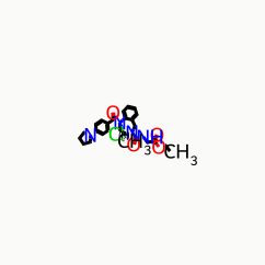 CCOC(=O)CNC(=O)N1Cc2ccccc2N(C(=O)c2ccc(N3CCCC3)cc2Cl)C[C@H]1C